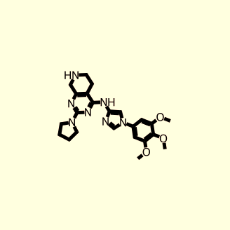 COc1cc(-n2cnc(Nc3nc(N4CCCC4)nc4c3CCNC4)c2)cc(OC)c1OC